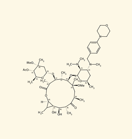 CO[C@]1(C)C[C@H](O[C@H]2[C@H](C)[C@@H](O[C@@H]3O[C@H](C)C[C@@H](N(C)Cc4ccc(N5CCOCC5)cc4)[C@@H]3N(C)C)[C@@](C)(OC)C[C@@H](C)C(=O)[C@H](C)[C@@H](O)[C@@]3(O)C(C)[C@H]3OC(=O)[C@@H]2C)O[C@@H](C)[C@@H]1OC(C)=O